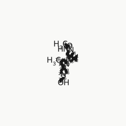 CC(=O)Nc1cc2c(cn1)C1(CC1)CN2c1cc(C)cc(N2CCN(CCO)CC2)n1